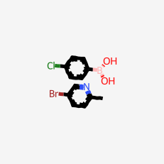 Cc1ccc(Br)cn1.OB(O)c1ccc(Cl)cc1